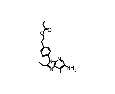 CCC(=O)OCCc1ccc(-n2c(CC)nc3c(C)c(N)cnc32)cc1